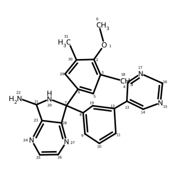 COc1c(C)cc(C2(c3cccc(-c4cncnc4)c3)NC(N)c3nccnc32)cc1C